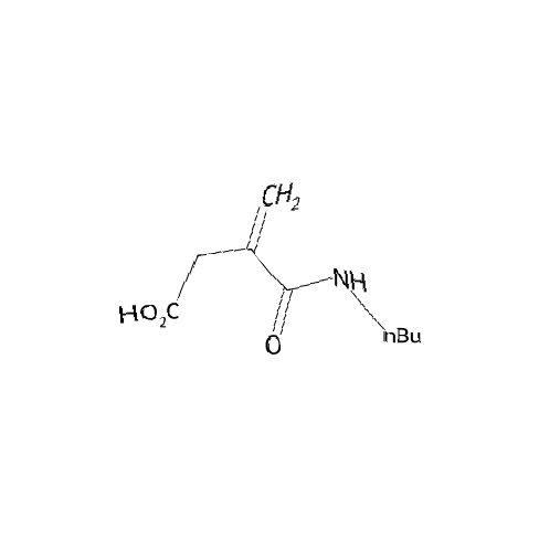 C=C(CC(=O)O)C(=O)NCCCC